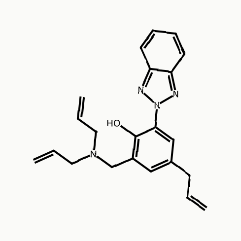 C=CCc1cc(CN(CC=C)CC=C)c(O)c(-n2nc3ccccc3n2)c1